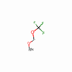 CCCO[CH]OC(F)(F)F